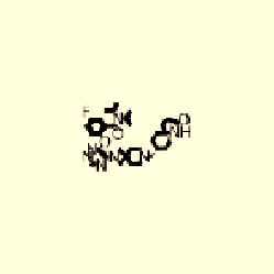 CC(C)N(C(=O)c1cc(F)ccc1Oc1nncnc1N1CC2(CCN(C[C@H]3CC[C@@]4(CCC(=O)N4)CC3)CC2)C1)C(C)C